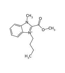 CCCC[n+]1c(C(=O)OC)n(C)c2ccccc21